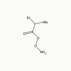 CCCCC(CC)C(=O)OON